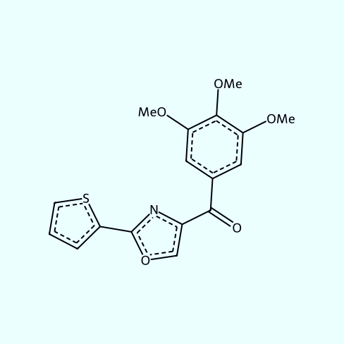 COc1cc(C(=O)c2coc(-c3cccs3)n2)cc(OC)c1OC